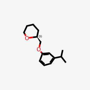 CC(C)c1cccc(OC[C@@H]2CCCCO2)c1